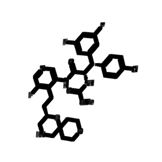 COC(=O)N[C@H](C(=O)Nc1cncc(F)c1CC[C@@H]1CNCC2(CCOCC2)O1)[C@@H](c1ccc(Cl)cc1)c1cc(F)cc(F)c1